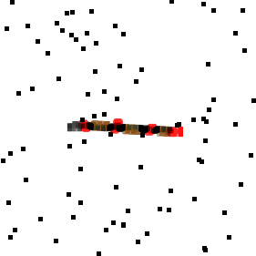 CCCOOCCSCSCSCCOC(=O)CCSCSCSCCCOOCCSCSCO